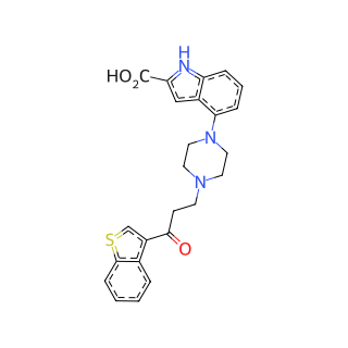 O=C(O)c1cc2c(N3CCN(CCC(=O)c4csc5ccccc45)CC3)cccc2[nH]1